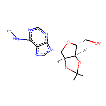 CCNc1ncnc2c1ncn2[C@@H]1O[C@H](CO)[C@H]2OC(C)(C)O[C@H]21